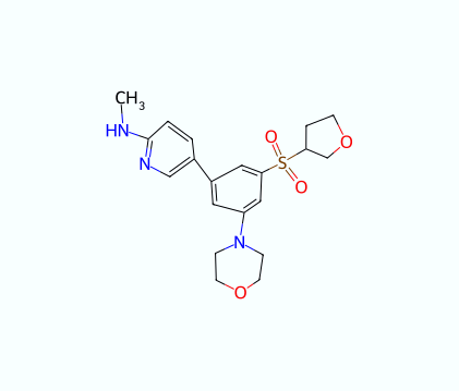 CNc1ccc(-c2cc(N3CCOCC3)cc(S(=O)(=O)C3CCOC3)c2)cn1